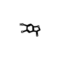 O=C1COc2cc(O)c(Cl)cc21